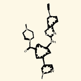 C#Cc1ccc2nc(Nc3cc(C(=O)N4CCN(C)CC4)cc(-c4cnn(C)c4)c3)ncc2c1